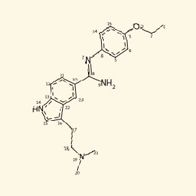 CCOc1ccc(N=C(N)c2ccc3[nH]cc(CCN(C)C)c3c2)cc1